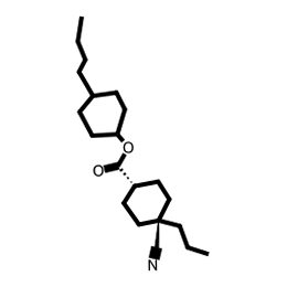 CCCCC1CCC(OC(=O)[C@H]2CC[C@@](C#N)(CCC)CC2)CC1